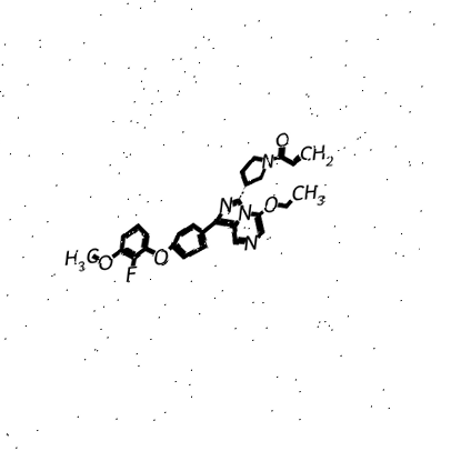 C=CC(=O)N1CC[C@@H](c2nc(-c3ccc(Oc4cccc(OC)c4F)cc3)c3cncc(OCC)n23)C1